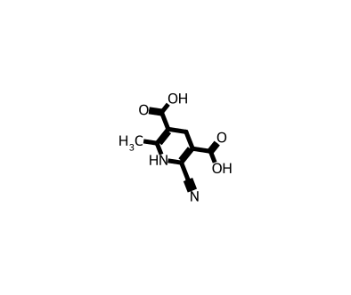 CC1=C(C(=O)O)CC(C(=O)O)=C(C#N)N1